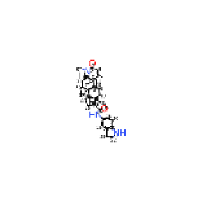 CN1C(=O)C=C[C@]2(C)[C@H]3CC[C@]4(C)[C@@H](C(=O)Nc5ccc6[nH]ccc6c5)CC[C@H]4[C@@H]3CC[C@@H]12